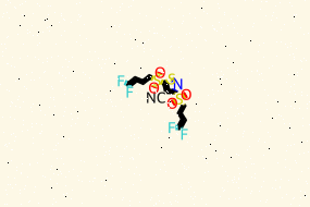 N#Cc1c(S(=O)(=O)CCC=C(F)F)nsc1S(=O)(=O)CCC=C(F)F